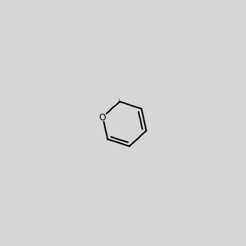 [CH]1C=CC=CO1